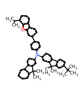 CC(C)c1cccc2c1oc1cc(-c3ccc(N(c4ccc5c(c4)C(C)(C)c4ccccc4-5)c4ccc5c(c4)C(C)(C)c4cc(C(C)(C)C)ccc4-5)cc3)ccc12